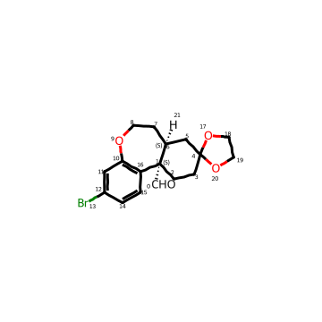 O=C[C@@]12CCC3(C[C@@H]1CCOc1cc(Br)ccc12)OCCO3